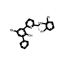 CC(C)c1cccc(C(C)C)c1N[C@H](C)c1cccc(-c2cc(C(C)(C)C)cc(-c3ccccc3)c2O)n1